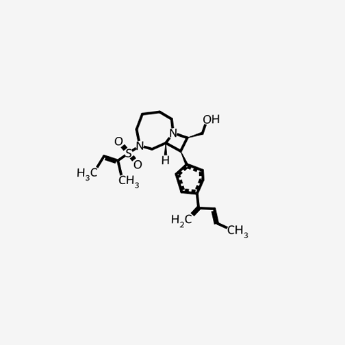 C=C(/C=C/C)c1ccc([C@@H]2[C@H](CO)N3CCCCN(S(=O)(=O)/C(C)=C/C)C[C@@H]23)cc1